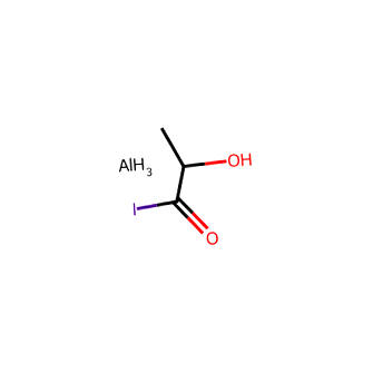 CC(O)C(=O)I.[AlH3]